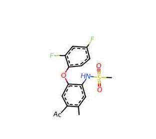 CC(=O)c1cc(Oc2ccc(F)cc2F)c(NS(C)(=O)=O)cc1C